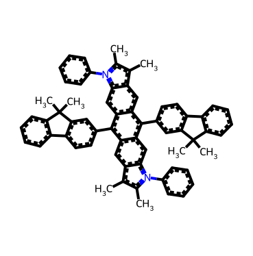 Cc1c(C)n(-c2ccccc2)c2cc3c(-c4ccc5c(c4)C(C)(C)c4ccccc4-5)c4cc5c(C)c(C)n(-c6ccccc6)c5cc4c(-c4ccc5c(c4)C(C)(C)c4ccccc4-5)c3cc12